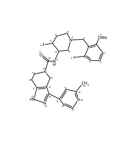 COc1cccc(F)c1CN1CCC(F)C(NC(=O)N2CCc3[nH]nc(-c4ccnc(C)c4)c3C2)C1